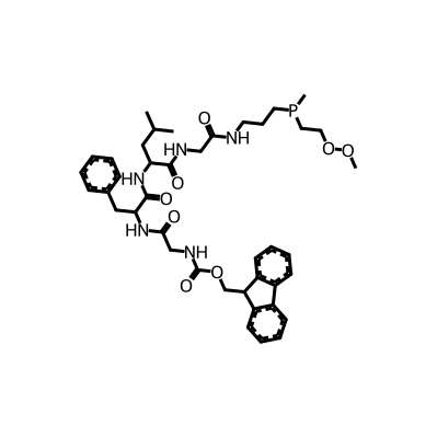 COOCCP(C)CCCNC(=O)CNC(=O)C(CC(C)C)NC(=O)C(Cc1ccccc1)NC(=O)CNC(=O)OCC1c2ccccc2-c2ccccc21